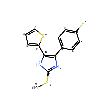 CCCSc1nc(-c2ccc(F)cc2)c(-c2cccs2)[nH]1